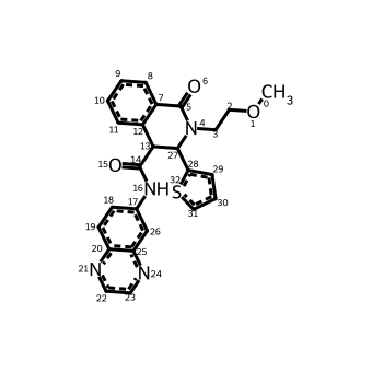 COCCN1C(=O)c2ccccc2C(C(=O)Nc2ccc3nccnc3c2)C1c1cccs1